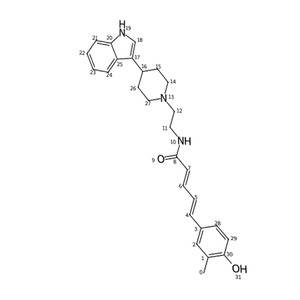 Cc1cc(/C=C/C=C/C(=O)NCCN2CCC(c3c[nH]c4ccccc34)CC2)ccc1O